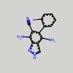 N#Cc1c(-c2ccccc2I)c(N)c2c[nH]nc2c1N